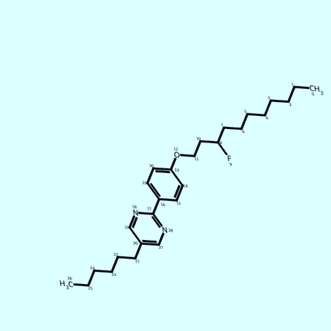 CCCCCCCCC(F)CCOc1ccc(-c2ncc(CCCCCC)cn2)cc1